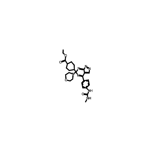 CCOC(=O)C1CCC(C2(N3CCOCC3)N=C3N=NC=C3C(c3ccc(NC(=O)NC)cc3)=N2)CC1